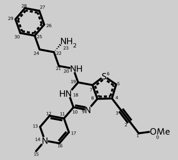 COCC#Cc1csc2c1N=C(C1=CCN(C)C=C1)NC2NC[C@@H](N)Cc1ccccc1